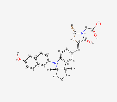 COc1ccc2cc(N3c4ccc(/C=C5\SC(=S)N(CC(=O)O)C5=O)cc4[C@@H]4CCC[C@@H]43)ccc2c1